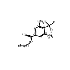 CCCCCCCOC(=O)c1cc(N)c(C(C)(C)CC)c(N)c1